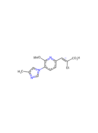 CC/C(=C\c1ccc(-n2cnc(C)c2)c(OC)n1)C(=O)O